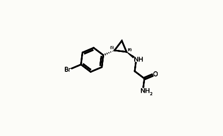 NC(=O)CN[C@@H]1C[C@H]1c1ccc(Br)cc1